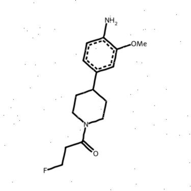 COc1cc(C2CCN(C(=O)CCF)CC2)ccc1N